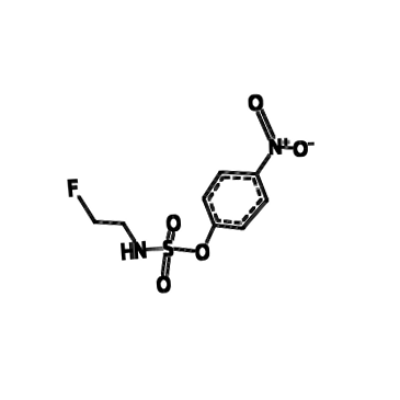 O=[N+]([O-])c1ccc(OS(=O)(=O)NCCF)cc1